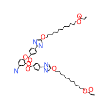 C=CC(=O)OCCCCCCCCCCCCOc1cnc(-c2ccc(C(=O)Oc3ccc(C#N)cc3OC(=O)c3ccc(-c4ncc(OCCCCCCCCCCCCOC(=O)C=C)cn4)cc3)cc2)nc1